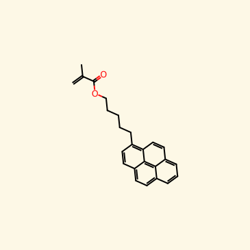 C=C(C)C(=O)OCCCCCc1ccc2ccc3cccc4ccc1c2c34